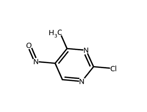 Cc1nc(Cl)ncc1N=O